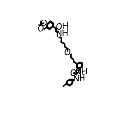 Cc1ccc(NC(=O)Nc2cccc(CCCCOCCCCCCNC[C@@H](O)c3ccc4c(c3)COC(C)(C)O4)c2)cc1